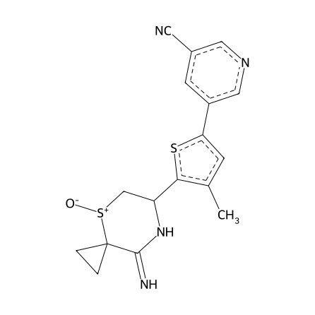 Cc1cc(-c2cncc(C#N)c2)sc1C1C[S+]([O-])C2(CC2)C(=N)N1